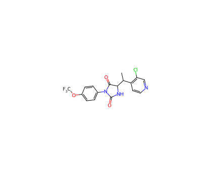 CC(c1ccncc1Cl)C1NC(=O)N(c2ccc(OC(F)(F)F)cc2)C1=O